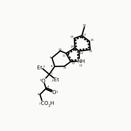 CCC(CC)(OC(=O)CC(=O)O)C1CCc2c([nH]c3ccc(C)cc23)C1